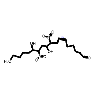 CCCCCC(O)C(CC(O)C(C/C=C\CCCC[C]=O)[N+](=O)[O-])[N+](=O)[O-]